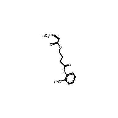 CCOC(=O)/C=C\C(=O)OCCCC(=O)Oc1ccccc1C=O